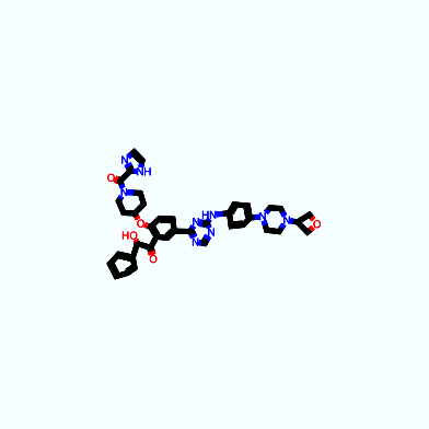 O=C(c1cc(-c2ncnc(Nc3ccc(N4CCN(C5COC5)CC4)cc3)n2)ccc1OC1CCN(C(=O)c2ncc[nH]2)CC1)C(O)c1ccccc1